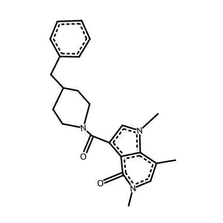 Cc1cn(C)c(=O)c2c(C(=O)N3CCC(Cc4ccccc4)CC3)cn(C)c12